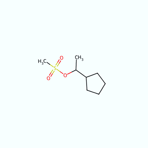 CC(OS(C)(=O)=O)C1CCCC1